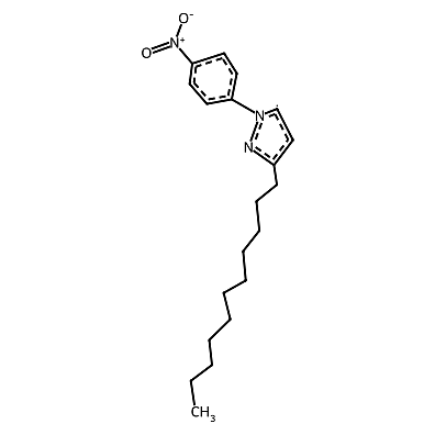 CCCCCCCCCCCc1c[c]n(-c2ccc([N+](=O)[O-])cc2)n1